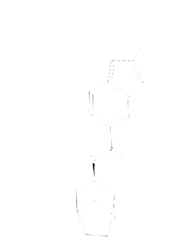 O=C(N[C@@H]1C[C@@H]2CCN(C2)C1)c1cn2cc(Cl)cc2cn1